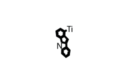 [Ti][c]1cccc2c1C=C1C2=Nc2ccccc21